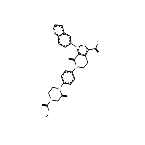 CC(C)(C)OC(=O)N1CCN(c2ccc(N3CCc4c(C(N)=O)nn(-c5ccc6occc6c5)c4C3=O)cc2)C(=O)C1